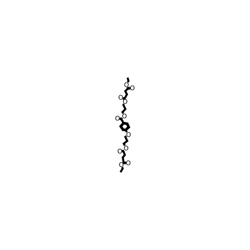 CCOC(=O)CCC(=O)OCCCOC(=O)c1ccc(OCCCOC(=O)CCC(=O)OCC)cc1